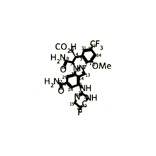 COc1cc([C@H](CC(=O)O)C(C(N)=O)n2ncc3c(NC4=NCC(F)CN4)cc(C(N)=O)cc32)cc(C(F)(F)F)c1